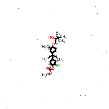 CCC(CC)(c1ccc(OCC(O)C(C)(C)C)c(C)c1)c1ccc(OC(=O)OC)c(Cl)c1